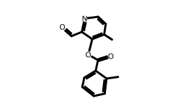 Cc1ccccc1C(=O)Oc1c(C)ccnc1C=O